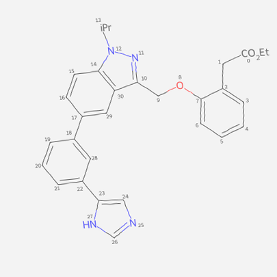 CCOC(=O)Cc1ccccc1OCc1nn(C(C)C)c2ccc(-c3cccc(-c4cnc[nH]4)c3)cc12